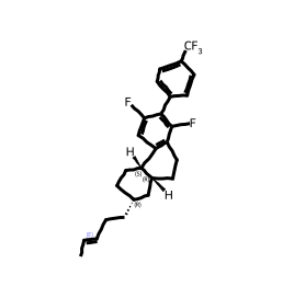 C/C=C/CC[C@@H]1CC[C@@H]2c3cc(F)c(-c4ccc(C(F)(F)F)cc4)c(F)c3CC[C@@H]2C1